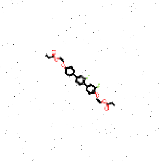 C=CC(=O)O/C=C\Oc1ccc(-c2ccc(-c3ccc(O/C=C\OC(=O)C=C)c(F)c3)c(F)c2)cc1